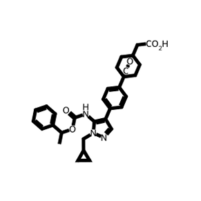 CC(OC(=O)Nc1c(-c2ccc(C34CCC(CC(=O)O)(CC3)OC4)cc2)cnn1CC1CC1)c1ccccc1